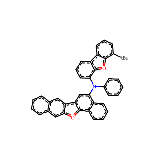 CC(C)(C)c1cccc2c1oc1c(N(c3ccccc3)c3cc4c5cc6ccccc6cc5oc4c4ccccc34)cccc12